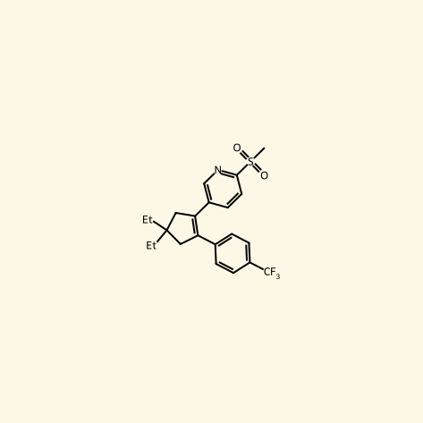 CCC1(CC)CC(c2ccc(C(F)(F)F)cc2)=C(c2ccc(S(C)(=O)=O)nc2)C1